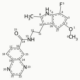 COc1cc(F)c2[nH]c(C)c(CCNC(=O)c3ccc4nccnc4c3)c2c1